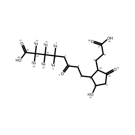 [2H]C([2H])(CC(=O)CCC1C(O)CC(=O)C1CCC(=O)O)C([2H])([2H])C([2H])([2H])C(=O)O